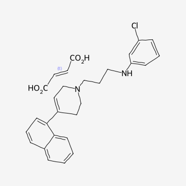 Clc1cccc(NCCCN2CC=C(c3cccc4ccccc34)CC2)c1.O=C(O)/C=C/C(=O)O